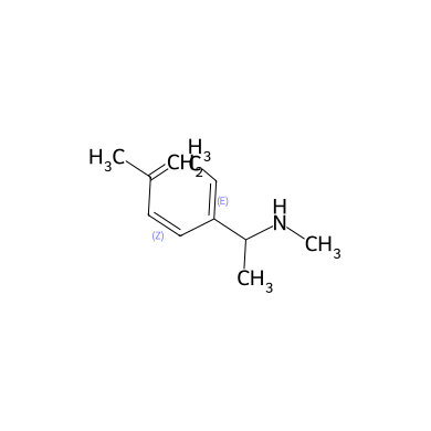 C=C(C)/C=C\C(=C/C)C(C)NC